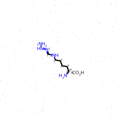 NNN=CNCCCC[C@@H](N)C(=O)O